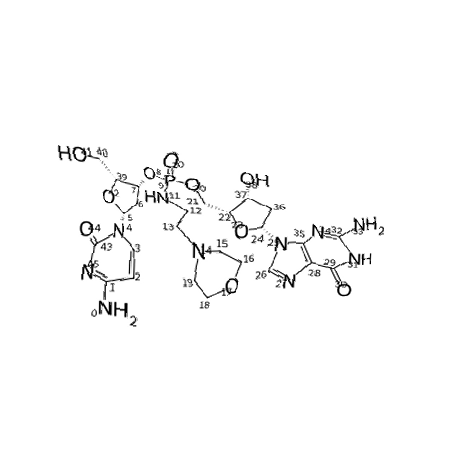 Nc1ccn([C@H]2C[C@@H](OP(=O)(NCCN3CCOCC3)OC[C@H]3O[C@@H](n4cnc5c(=O)[nH]c(N)nc54)C[C@H]3O)[C@@H](CO)O2)c(=O)n1